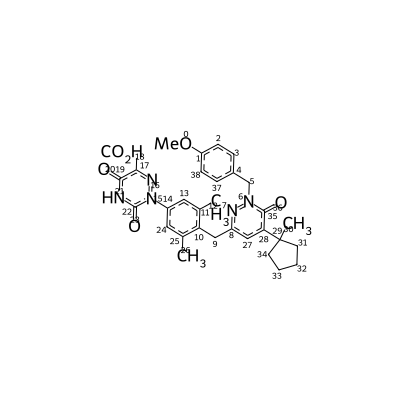 COc1ccc(Cn2nc(Cc3c(C)cc(-n4nc(C(=O)O)c(=O)[nH]c4=O)cc3C)cc(C3(C)CCCC3)c2=O)cc1